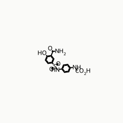 NC(=O)c1cc(S(=O)(=O)Nc2ccc(NC(=O)O)cc2)ccc1O